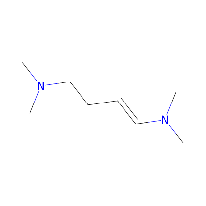 CN(C)/C=C/CCN(C)C